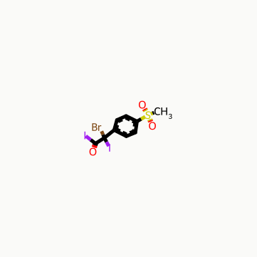 CS(=O)(=O)c1ccc(C(Br)(I)C(=O)I)cc1